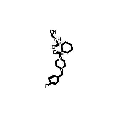 N#CCNC(=O)[C@@H]1CCCC[C@H]1C(=O)N1CCN(Cc2ccc(F)cc2)CC1